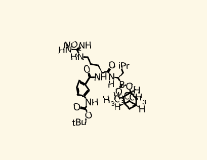 CC(C)C[C@H](NC(=O)[C@H](CCCNC(=N)N[N+](=O)[O-])NC(=O)c1cccc(NC(=O)OC(C)(C)C)c1)B1O[C@@H]2C[C@@H]3C[C@@H](C3(C)C)[C@]2(C)O1